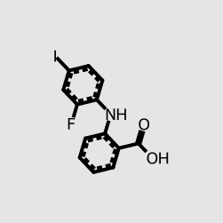 O=C(O)c1ccccc1Nc1ccc(I)cc1F